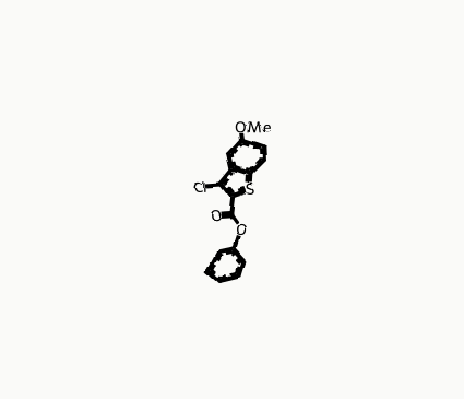 COc1ccc2sc(C(=O)Oc3ccccc3)c(Cl)c2c1